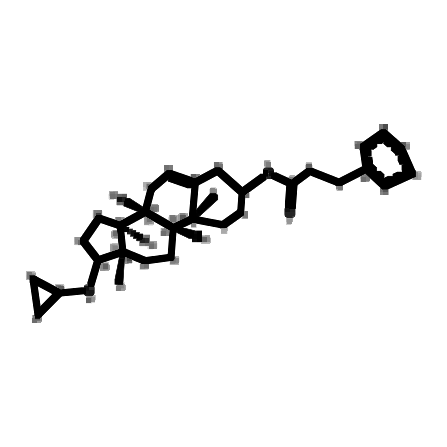 C[C@]12CCC(OC(=O)CCc3ccccc3)CC1=CC[C@@H]1[C@H]2CC[C@]2(C)C(OC3CC3)CC[C@@H]12